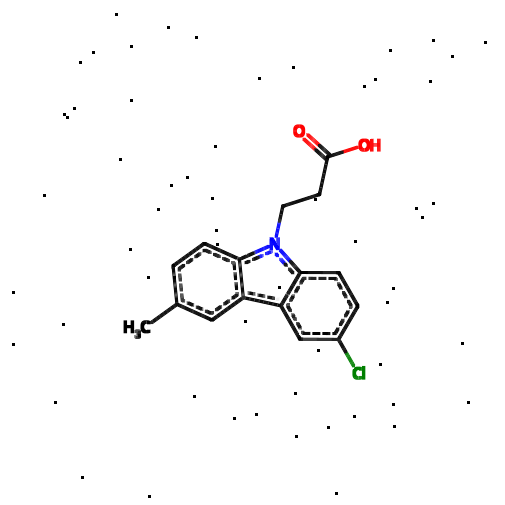 Cc1ccc2c(c1)c1cc(Cl)ccc1n2CCC(=O)O